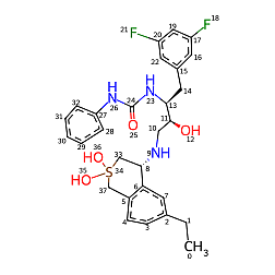 CCc1ccc2c(c1)[C@@H](NC[C@H](O)[C@H](Cc1cc(F)cc(F)c1)NC(=O)Nc1ccccc1)CS(O)(O)C2